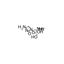 [N-]=[N+]=N[C@]1(O)C[C@H](n2ccc(N)nc2=O)O[C@@H]1CO